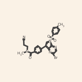 Cc1ccc(S(=O)(=O)n2cc(-c3ccc(C(=O)N(C)CCC#N)cc3)c3nc(Br)cnc32)cc1